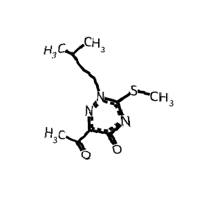 CSc1nc(=O)c(C(C)=O)nn1CCC(C)C